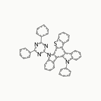 c1ccc(-c2nc(-c3ccccc3)nc(-n3c4ccccc4c4c3c3sc5ccccc5c3c3c5ccccc5n(-c5ccccc5)c34)n2)cc1